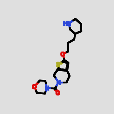 O=C(N1CCOCC1)N1CCc2cc(OCCCC3CCCNC3)sc2C1